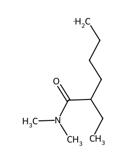 [CH2]CCCC(CC)C(=O)N(C)C